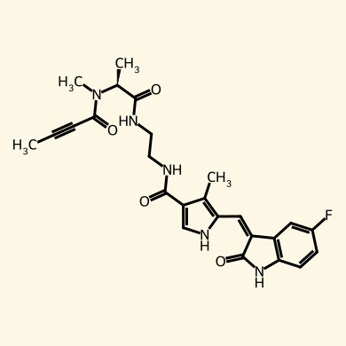 CC#CC(=O)N(C)[C@@H](C)C(=O)NCCNC(=O)c1c[nH]c(/C=C2\C(=O)Nc3ccc(F)cc32)c1C